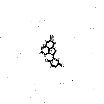 O=C1C=CC(=O)C(C2Cc3cc(Br)cc4cccc2c34)=C1